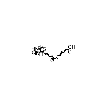 CN(CCCCCC(=O)O)C(=O)CCCC[C@@H]1SC[C@@H]2NC(=O)N[C@@H]21